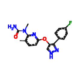 Cc1ccc(Oc2c[nH]nc2-c2ccc(F)cc2)nc1N(C)C(N)=O